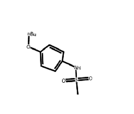 CCCCOc1ccc(NS(C)(=O)=O)cc1